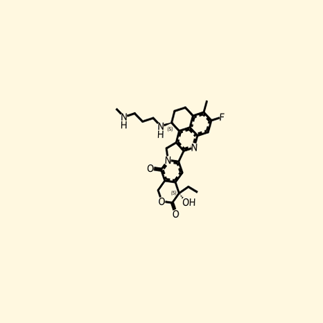 CC[C@@]1(O)C(=O)OCc2c1cc1n(c2=O)Cc2c-1nc1cc(F)c(C)c3c1c2[C@@H](NCCCNC)CC3